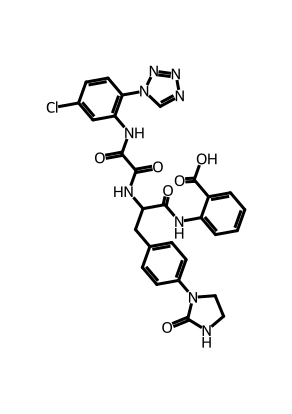 O=C(Nc1cc(Cl)ccc1-n1cnnn1)C(=O)NC(Cc1ccc(N2CCNC2=O)cc1)C(=O)Nc1ccccc1C(=O)O